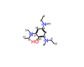 CCN(C)c1cc(N(C)CC)c(O)c(N(C)CC)c1